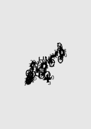 CC(C)(C)OC(=O)N1C[C@H](NC(=O)CCCN2C(=O)C=CC2=O)C[C@H]1C(=O)N1CCC[C@H]1P1OC2C3CC(CC2(C)O1)C3(C)C